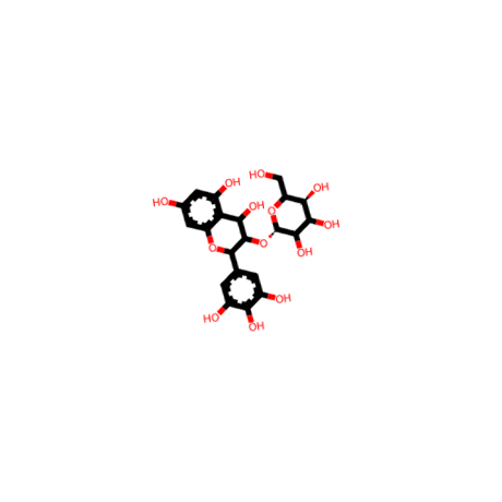 OCC1O[C@@H](OC2C(O)c3c(O)cc(O)cc3OC2c2cc(O)c(O)c(O)c2)C(O)C(O)[C@@H]1O